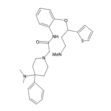 CNCCC(Oc1ccccc1NC(=O)CN1CCC(c2ccccc2)(N(C)C)CC1)c1cccs1